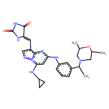 CC1CN(C(C)c2cccc(Nc3cc(NC4CC4)n4ncc(/C=C5\NC(=O)NC5=O)c4n3)c2)CC(C)O1